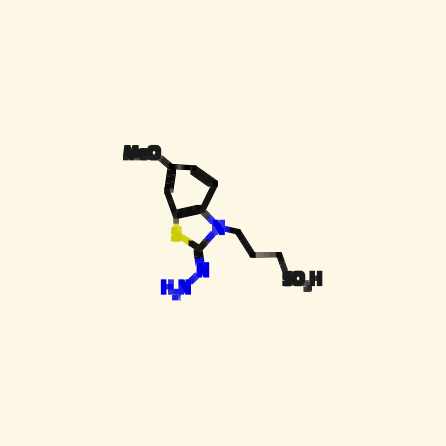 COc1ccc2c(c1)sc(=NN)n2CCCS(=O)(=O)O